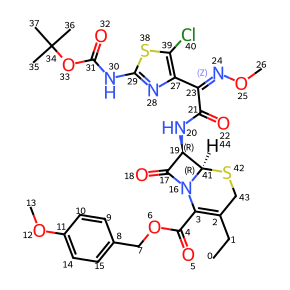 CCC1=C(C(=O)OCc2ccc(OC)cc2)N2C(=O)[C@@H](NC(=O)/C(=N\OC)c3nc(NC(=O)OC(C)(C)C)sc3Cl)[C@H]2SC1